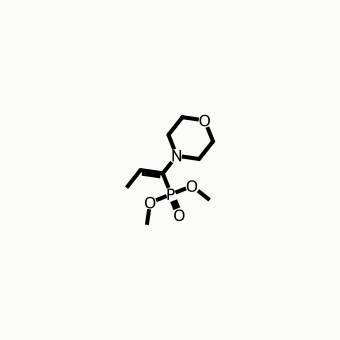 CC=C(N1CCOCC1)P(=O)(OC)OC